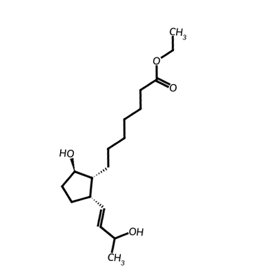 CCOC(=O)CCCCCC[C@H]1[C@H](O)CC[C@H]1C=CC(C)O